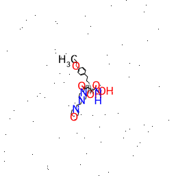 CCOc1ccc(CCC[C@@H](C(=O)N2CCN(CCN3CCOCC3)CC2)[C@H](O)C(=O)NO)cc1